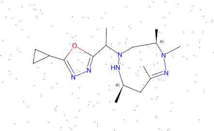 C/C1=N\N(C)[C@H](C)CN(C(C)c2nnc(C3CC3)o2)N[C@H](C)C1